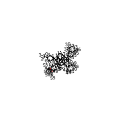 CC(C)(C)c1ccc(N2c3cccc4c3B(c3cc5c(cc3N4c3ccc4c(c3)C(C)(C)CCC4(C)C)C(C)(C)CCC5(C)C)c3sc4cc5c(cc4c32)C2(C)CCC5(C)CC2)cc1